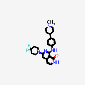 CN1CCC(c2ccc(Nc3nc(N4CCC(F)(F)CC4)cc4cc[nH]c(=O)c34)cc2)CC1